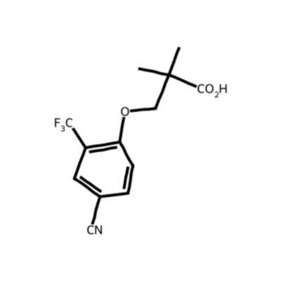 CC(C)(COc1ccc(C#N)cc1C(F)(F)F)C(=O)O